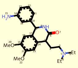 CCN(CC)CCC1C(=O)NC(c2cccc(N)c2)c2cc(OC)c(OC)cc21